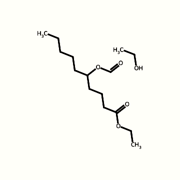 CCCCCC(CCCC(=O)OCC)OC=O.CCO